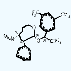 CN[C@@H]1CCO[C@H](O[C@H](C)c2cc(C(F)(F)F)cc(C(F)(F)F)c2)[C@H]1c1ccccc1